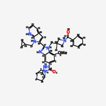 COc1cc(C(=O)N2CC3CCC2C3N)cc2nc(-c3cc4cccnc4n3CC3CC3)n(CC3(C)CN(C(=O)c4ccccc4)C3)c12